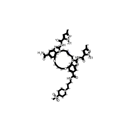 CCn1nc(C)cc1C(=O)Nc1nc2cc(C(N)=O)cc3c2n1C/C=C/Cn1c(NC(=O)c2cc(C)nn2CC)nc2cc(C(=O)NCCCN4CCC(S(C)(=O)=O)CC4)cc(c21)OCCCO3